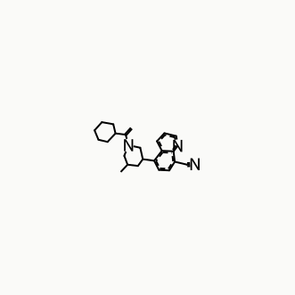 C=C(C1CCCCC1)N1CC(C)CC(c2ccc(C#N)c3ncccc23)C1